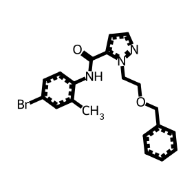 Cc1cc(Br)ccc1NC(=O)c1ccnn1CCOCc1ccccc1